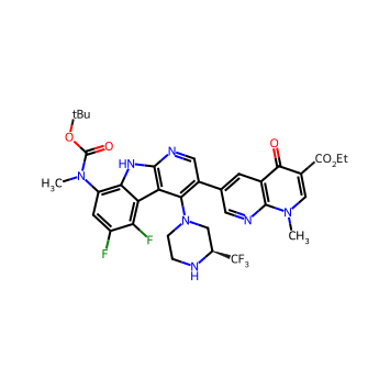 CCOC(=O)c1cn(C)c2ncc(-c3cnc4[nH]c5c(N(C)C(=O)OC(C)(C)C)cc(F)c(F)c5c4c3N3CCN[C@H](C(F)(F)F)C3)cc2c1=O